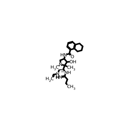 C=CNC[C@H](NC(=N)CCC)C1(C)C(O)C(NC(=O)c2cccc3c2CCCC3)CN1C